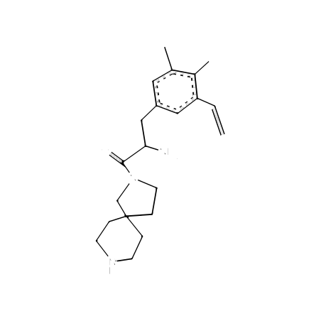 C=Cc1cc(CC(N)C(=O)N2CCC3(CCNCC3)C2)cc(C)c1C